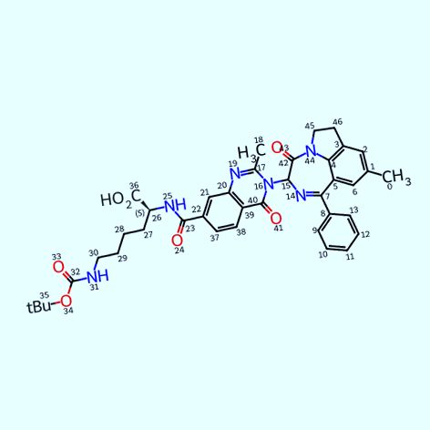 Cc1cc2c3c(c1)C(c1ccccc1)=NC(n1c(C)nc4cc(C(=O)N[C@@H](CCCCNC(=O)OC(C)(C)C)C(=O)O)ccc4c1=O)C(=O)N3CC2